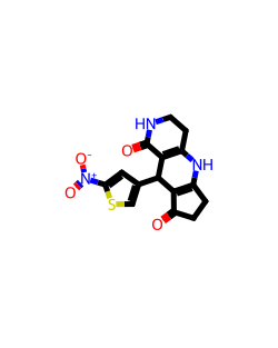 O=C1CCC2=C1C(c1csc([N+](=O)[O-])c1)C1=C(CCNC1=O)N2